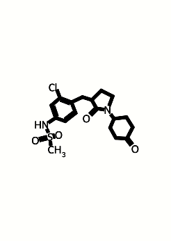 CS(=O)(=O)Nc1ccc(CC2CCN(C3CCC(=O)CC3)C2=O)c(Cl)c1